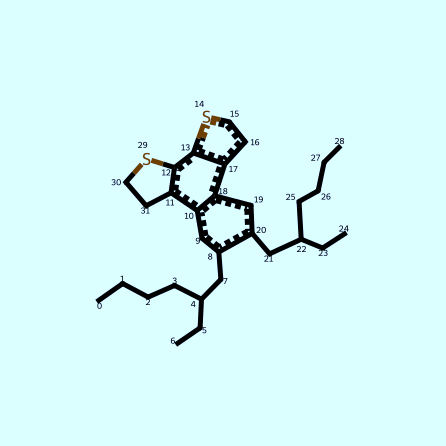 CCCCC(CC)Cc1cc2c3c(c4sccc4c2cc1CC(CC)CCCC)SCC3